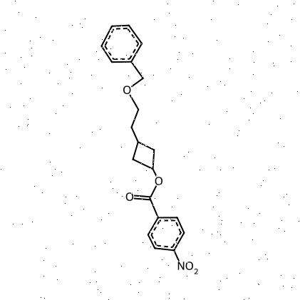 O=C(OC1CC(CCOCc2ccccc2)C1)c1ccc([N+](=O)[O-])cc1